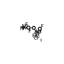 Fc1ccc(N2N=C(C(F)(F)C(F)(F)F)CC2c2cccc(-c3cc(F)c(-n4cncn4)cc3F)c2)c(F)c1